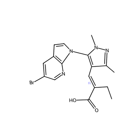 CC/C(=C\c1c(C)nn(C)c1-n1ccc2cc(Br)cnc21)C(=O)O